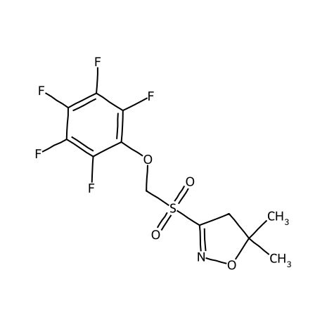 CC1(C)CC(S(=O)(=O)COc2c(F)c(F)c(F)c(F)c2F)=NO1